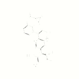 CCC(SC1=CC=CC(/C(=C/C(C)C)c2ncc(C(/C(C)=C/N)=C(\C)O)cc2C)C1)C1CC1